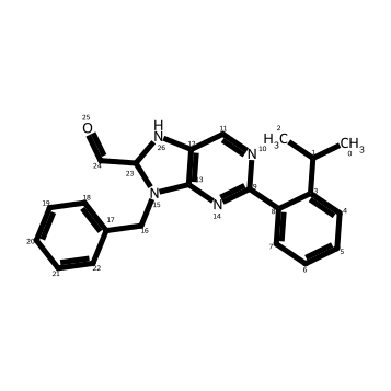 CC(C)c1ccccc1-c1ncc2c(n1)N(Cc1ccccc1)C(C=O)N2